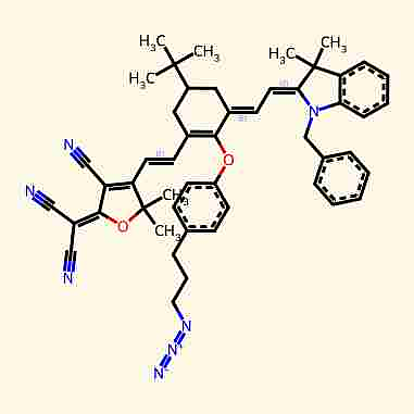 CC1(C)OC(=C(C#N)C#N)C(C#N)=C1/C=C/C1=C(Oc2ccc(CCCN=[N+]=[N-])cc2)C(=C/C=C2\N(Cc3ccccc3)c3ccccc3C2(C)C)/CC(C(C)(C)C)C1